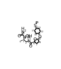 C[C@H](CNC(=O)c1ccc(Oc2ccc(SF)cc2)o1)N(O)C(N)=O